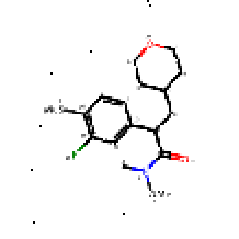 CON(C)C(=O)C(CC1CCOCC1)c1ccc(SC)c(F)c1